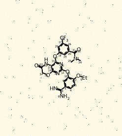 CCOc1ccc(C(=N)N)cc1Oc1nc2c(c(Oc3cc(C(=O)N(C)C)cc(C(F)(F)F)c3)n1)NC(=O)CO2